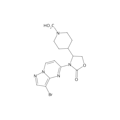 O=C(O)N1CCC(C2COC(=O)N2c2ccn3ncc(Br)c3n2)CC1